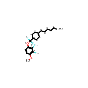 CCOc1ccc(OC(F)(F)C2CCC(CCCCCOC)CC2)c(F)c1F